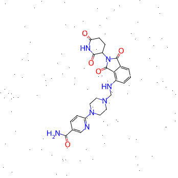 NC(=O)c1ccc(N2CCN(CNc3cccc4c3C(=O)N(C3CCC(=O)NC3=O)C4=O)CC2)nc1